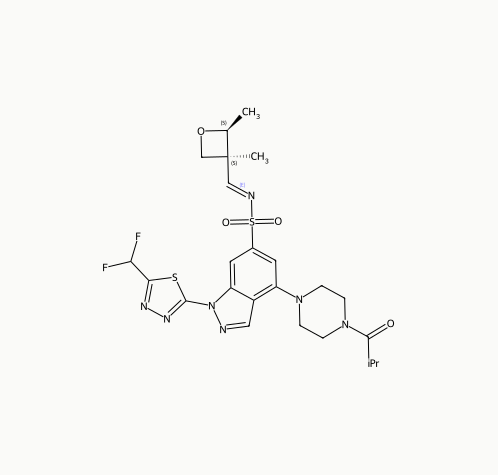 CC(C)C(=O)N1CCN(c2cc(S(=O)(=O)/N=C/[C@@]3(C)CO[C@H]3C)cc3c2cnn3-c2nnc(C(F)F)s2)CC1